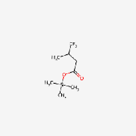 CC(CC(=O)O[Si](C)(C)C)C(F)(F)F